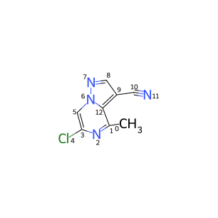 Cc1nc(Cl)cn2ncc(C#N)c12